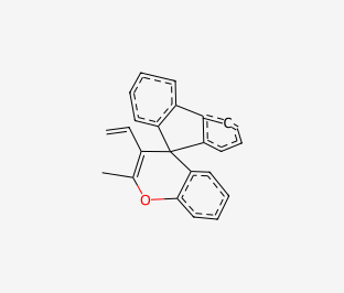 C=CC1=C(C)Oc2ccccc2C12c1ccccc1-c1ccccc12